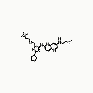 COCCNc1cnc2ccc(/N=c3\sc(C4CCCC4)nn3COCC[Si](C)(C)C)nc2c1